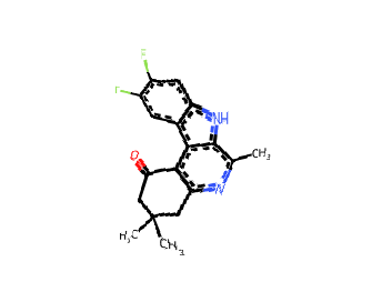 Cc1nc2c(c3c1[nH]c1cc(F)c(F)cc13)C(=O)CC(C)(C)C2